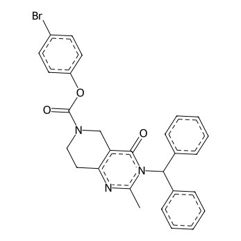 Cc1nc2c(c(=O)n1C(c1ccccc1)c1ccccc1)CN(C(=O)Oc1ccc(Br)cc1)CC2